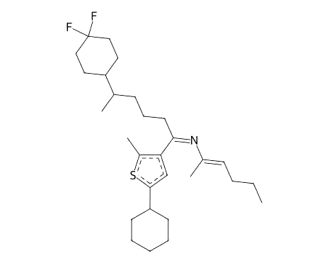 CCC/C=C(C)/N=C(/CCCC(C)C1CCC(F)(F)CC1)c1cc(C2CCCCC2)sc1C